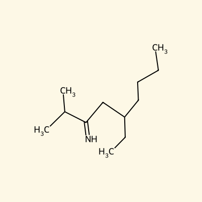 CCCCC(CC)CC(=N)C(C)C